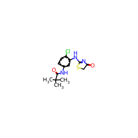 CC(C)(C)C(=O)Nc1ccc(Cl)c(NC2=NC(=O)CS2)c1